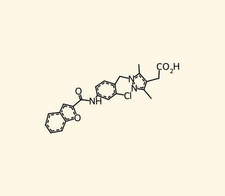 Cc1nn(Cc2ccc(NC(=O)c3cc4ccccc4o3)cc2Cl)c(C)c1CC(=O)O